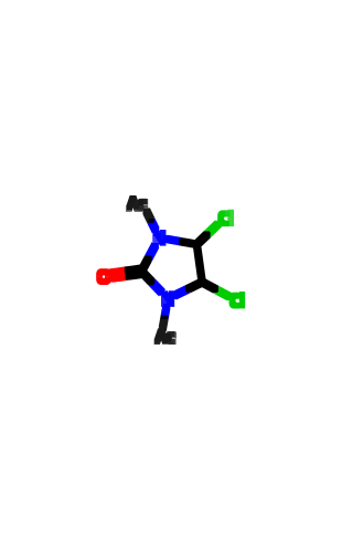 CC(=O)N1C(=O)N(C(C)=O)C(Cl)C1Cl